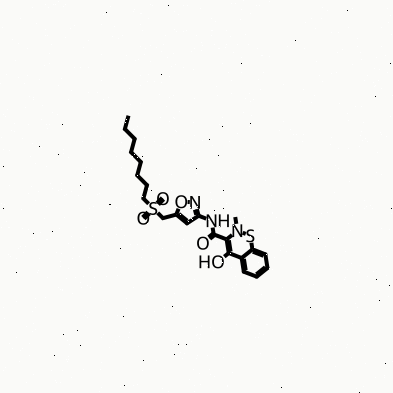 CCCCCCCCS(=O)(=O)Cc1cc(NC(=O)C2=C(O)c3ccccc3SN2C)no1